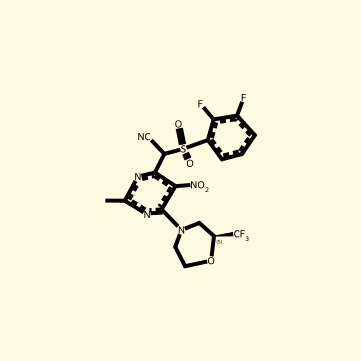 Cc1nc(C(C#N)S(=O)(=O)c2cccc(F)c2F)c([N+](=O)[O-])c(N2CCO[C@H](C(F)(F)F)C2)n1